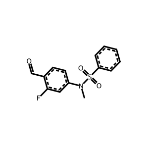 CN(c1ccc(C=O)c(F)c1)S(=O)(=O)c1ccccc1